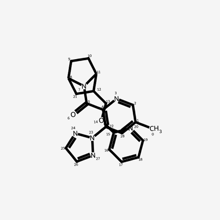 Cc1cnc(C(=O)N2C3CCC2C(COc2ccccn2)C3)c(-n2nccn2)c1